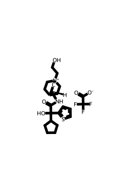 O=C(N[C@H]1C[N+]2(CCO)CCC1CC2)C(O)(c1cccs1)C1CCCC1.O=C([O-])C(F)(F)F